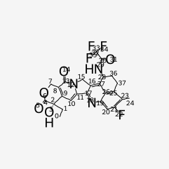 CC[C@@]1(O)C(=O)OCc2c1cc1n(c2=O)Cc2c-1nc1cc(F)c(C)c3c1c2[C@@H](NC(=O)C(F)(F)F)CC3